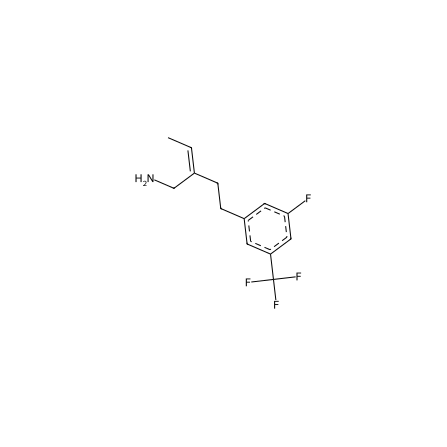 C/C=C(\CN)CCc1cc(F)cc(C(F)(F)F)c1